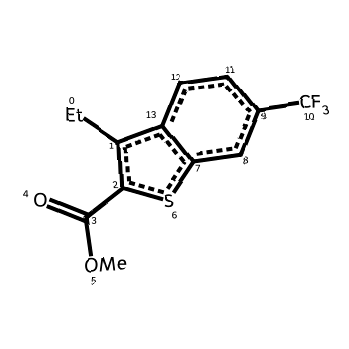 CCc1c(C(=O)OC)sc2cc(C(F)(F)F)ccc12